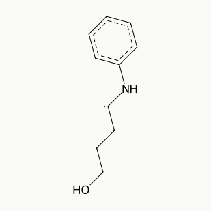 OCCC[CH]Nc1ccccc1